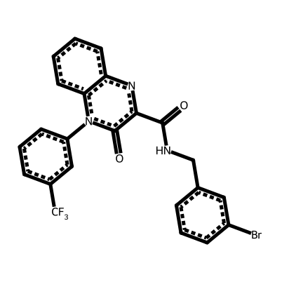 O=C(NCc1cccc(Br)c1)c1nc2ccccc2n(-c2cccc(C(F)(F)F)c2)c1=O